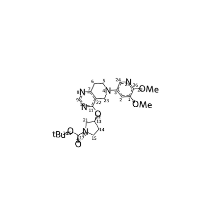 COc1cc(N2CCc3ncnc(O[C@H]4CCN(C(=O)OC(C)(C)C)C4)c3C2)cnc1OC